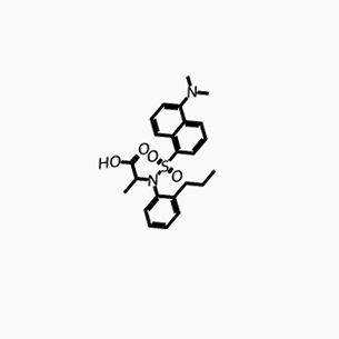 CCCc1ccccc1N(C(C)C(=O)O)S(=O)(=O)c1cccc2c(N(C)C)cccc12